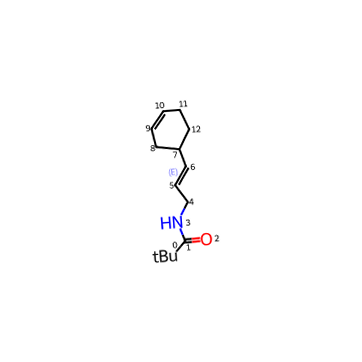 CC(C)(C)C(=O)NC/C=C/C1CC=CCC1